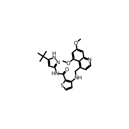 COc1cc(OC)c2c(CNc3ccsc3C(=O)Nc3cc(C(C)(C)C)[nH]n3)ccnc2c1